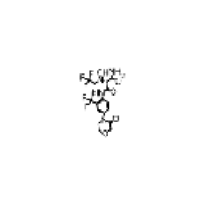 CN(CC(F)(F)F)[C@H](C(N)=O)C(=O)Nc1ccc(N2CCOCC2=O)cc1C(F)(F)F